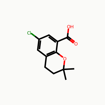 CC1(C)CCc2cc(Cl)cc(C(=O)O)c2O1